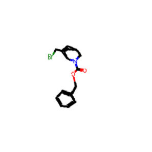 O=C(OCc1ccccc1)N1CC2C=CC1C(CBr)C2